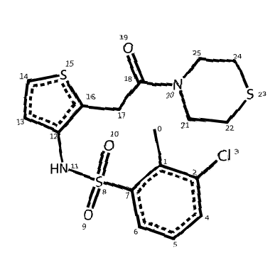 Cc1c(Cl)cccc1S(=O)(=O)Nc1ccsc1CC(=O)N1CCSCC1